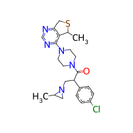 CC1SCc2ncnc(N3CCN(C(=O)C(CN4CC4C)c4ccc(Cl)cc4)CC3)c21